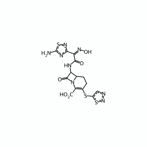 Nc1nc(/C(=N/O)C(=O)NC2C(=O)N3C(C(=O)O)=C(Sc4cnns4)CCC23)ns1